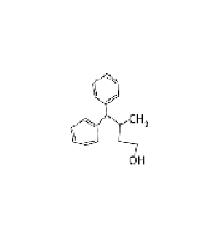 CC(CCO)C(c1ccccc1)c1ccccc1